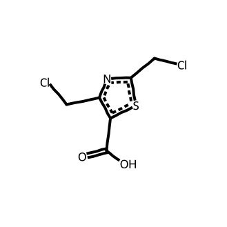 O=C(O)c1sc(CCl)nc1CCl